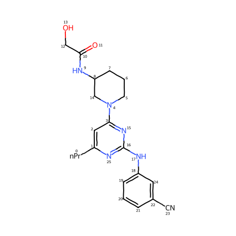 CCCc1cc(N2CCCC(NC(=O)CO)C2)nc(Nc2cccc(C#N)c2)n1